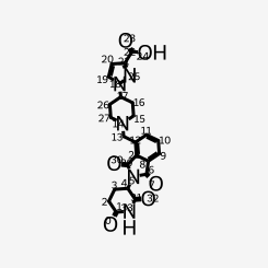 O=C1CCC(N2C(=O)c3cccc(CN4CCC(n5ccc(C(=O)O)n5)CC4)c3C2=O)C(=O)N1